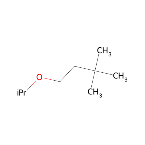 CC(C)OCCC(C)(C)C